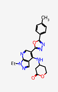 CCn1ncc2c(NC3CCOC(=O)C3)c(-c3nnc(-c4ccc(C)cc4)o3)cnc21